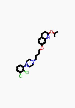 CC(C)OC1=Nc2cc(OCCCCN3CCN(c4cccc(Cl)c4Cl)CC3)ccc2CC1